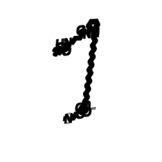 CC(C)(C)OC(=O)NCCCC(=O)Nc1ccccc1CCCCCCCCCCCCCCCCCCOP(=O)([O-])OCC[N+](C)(C)C